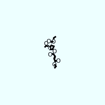 CCOC(=O)/C=C/C(=O)O[C@@H]1C[C@@H](C(=O)OCC)N(C(C)=O)C1